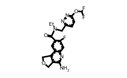 CCN(Cc1ccc(OC(F)F)nn1)C(=O)c1cc2c3c(c(N)nc2cc1F)COC3